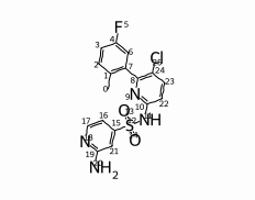 Cc1ccc(F)cc1-c1nc(NS(=O)(=O)c2ccnc(N)c2)ccc1Cl